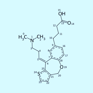 CN(C)CCC=C1c2cc(CCCC(=O)O)ccc2OCc2ccsc21